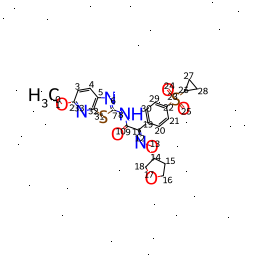 COc1ccc2nc(NC(=O)/C(=N/O[C@@H]3CCOC3)c3ccc(S(=O)(=O)C4CC4)cc3)sc2n1